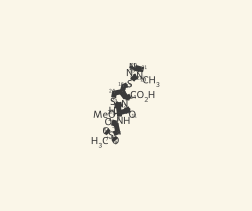 CO[C@@]1(NC(=O)CS(C)(=O)=O)C(=O)N2C(C(=O)O)=C(CSc3nncn3C)CS[C@H]21